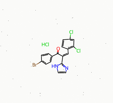 Cl.O=C(C(=Cc1ccc(Cl)cc1Cl)c1ncc[nH]1)c1ccc(Br)cc1